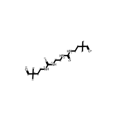 CC(C)(C=O)CCNC(=S)NCCNC(=S)NCCC(C)(C)C=O